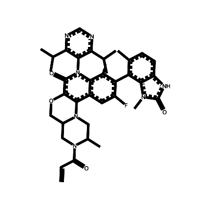 C=CC(=O)N1CC2COc3c(c4cc(F)c(-c5c(C)ccc6[nH]c(=O)n(C)c56)c(F)c4n(-c4c(C(C)C)ncnc4C(C)C)c3=O)N2CC1C